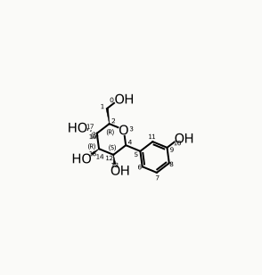 OC[C@H]1OC(c2cccc(O)c2)[C@@H](O)[C@@H](O)[C@@H]1O